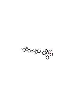 Cc1ccc2c(c1)Oc1cc(-c3ccc4c(c3)C(C)(C)c3cc(-c5ccc6c(c5)C(C)(C)c5cc(C)ccc5-6)ccc3-4)ccc1N2c1ccccc1-c1ccccc1